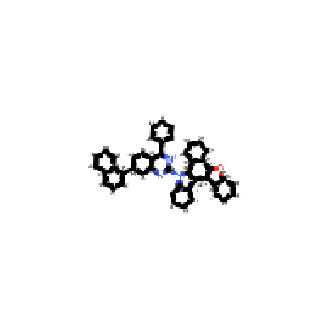 c1ccc(-c2nc(-n3c4ccccc4c4c5c6ccccc6oc5c5ccccc5c43)nc3cc(-c4cccc5ccccc45)ccc23)cc1